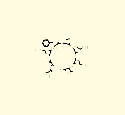 CC(C)C[C@@H]1NC(=O)[C@@H](Cc2ccccc2)NC(=O)[C@H](CCN)NC(=O)C(NC(=O)[C@@H](O)C(C)(C)C)CCNC(O)[C@H]([C@@H](C)O)NC(=O)[C@H](CCN)NC(=O)[C@H](CCN)NC1=O